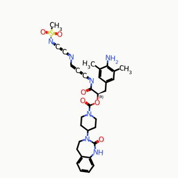 Cc1cc(C[C@@H](OC(=O)N2CCC(N3CCc4ccccc4NC3=O)CC2)C(=O)N=C=C=CN=C=C=NS(C)(=O)=O)cc(C)c1N